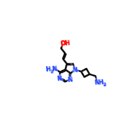 NCC1CC(n2cc(C=CCO)c3c(N)ncnc32)C1